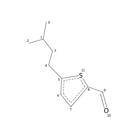 CC(C)CCc1ccc(C=O)s1